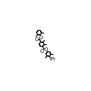 Cc1cccc(C)c1OC(=O)c1ccc(C(=O)Oc2cc(C)c(C(C)C)c(C)c2)c(C)c1C